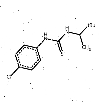 CC(NC(=S)Nc1ccc(Cl)cc1)C(C)(C)C